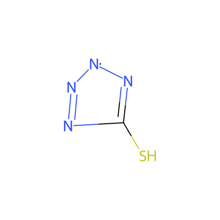 SC1=N[N]N=N1